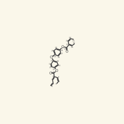 C=C/C=C(\C=C/C)C(=O)Oc1ccc(Oc2ccc(OC(=O)C(/C=C\C)=C/C)cc2)cc1